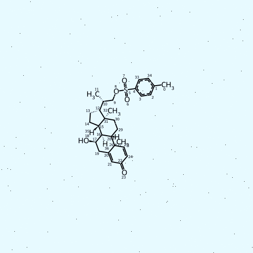 Cc1ccc(S(=O)(=O)OC[C@@H](C)[C@H]2CC[C@H]3[C@@H]4[C@H](O)CC5=CC(=O)C=C[C@]5(C)[C@H]4CC[C@]23C)cc1